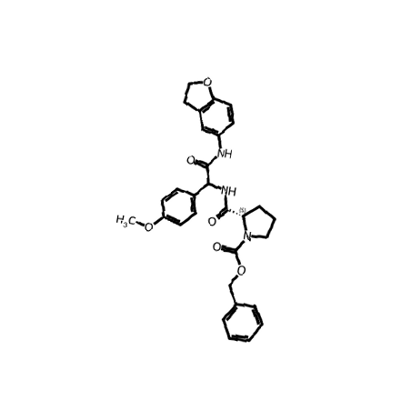 COc1ccc(C(NC(=O)[C@@H]2CCCN2C(=O)OCc2ccccc2)C(=O)Nc2ccc3c(c2)CCO3)cc1